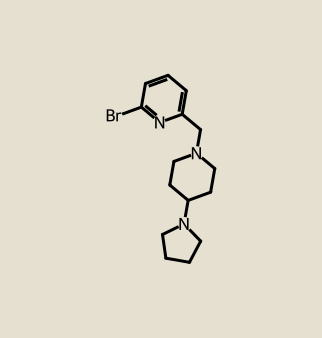 Brc1cccc(CN2CCC(N3CCCC3)CC2)n1